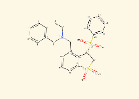 CCN(Cc1ccccc1)Cc1cccc2c1C(S(=O)(=O)c1ccccc1)CS2(=O)=O